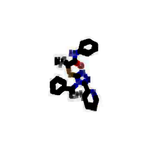 CC(Sc1nnc(-c2ccccn2)n1C(C)c1ccccc1)C(=O)Nc1ccccc1